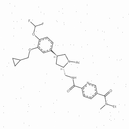 CCN(C)C(=O)c1ccc(C(=O)NC[C@@H]2C[C@@H](c3ccc(OC(F)F)c(OCC4CC4)c3)CN2C(C)=O)nc1